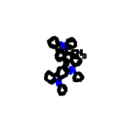 CC1(C)c2cccc3c2B(c2cc4c5ccccc5n(-c5ccccc5)c4cc2N3c2ccccc2)c2ccc3c4ccccc4n(-c4ccccc4)c3c21